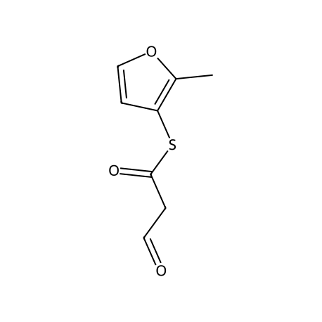 Cc1occc1SC(=O)CC=O